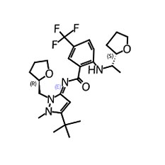 CC(Nc1ccc(C(F)(F)F)cc1C(=O)/N=c1\cc(C(C)(C)C)n(C)n1C[C@H]1CCCO1)[C@@H]1CCCO1